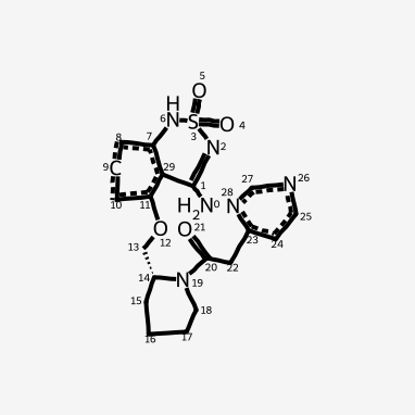 NC1=NS(=O)(=O)Nc2cccc(OC[C@H]3CCCCN3C(=O)Cc3ccncn3)c21